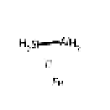 [AlH2][SiH3].[Fe].[Ti]